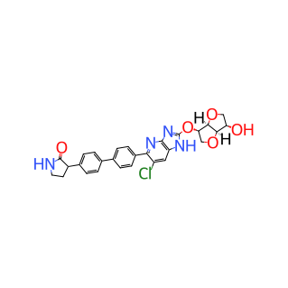 O=C1NCCC1c1ccc(-c2ccc(-c3nc4nc(O[C@@H]5CO[C@H]6[C@@H]5OC[C@H]6O)[nH]c4cc3Cl)cc2)cc1